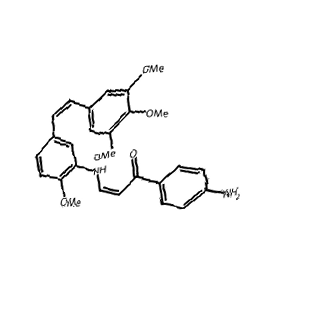 COc1ccc(/C=C\c2cc(OC)c(OC)c(OC)c2)cc1N/C=C\C(=O)c1ccc(N)cc1